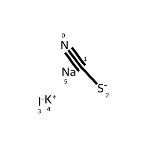 N#C[S-].[I-].[K+].[Na+]